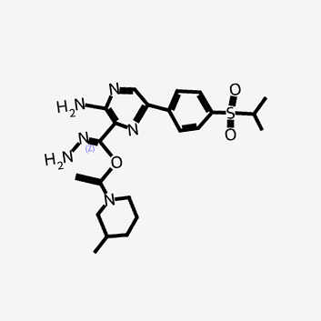 C=C(O/C(=N\N)c1nc(-c2ccc(S(=O)(=O)C(C)C)cc2)cnc1N)N1CCCC(C)C1